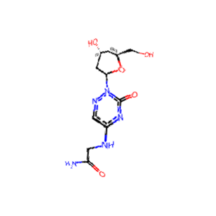 NC(=O)CNc1cnn(C2C[C@H](O)[C@@H](CO)O2)c(=O)n1